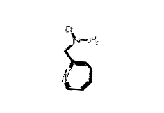 BN(CC)Cc1ccccn1